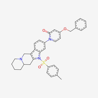 Cc1ccc(S(=O)(=O)n2c3c(c4ccc(-n5ccc(OCc6ccccc6)cc5=O)cc42)CN2CCCCC2C3)cc1